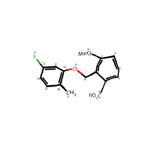 COc1cccc(C(=O)O)c1COc1cc(F)ccc1C